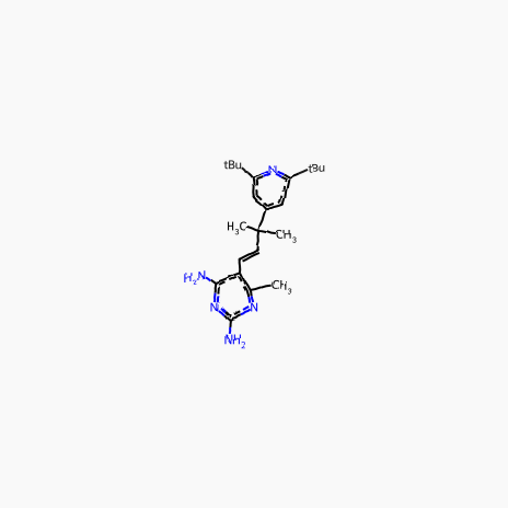 Cc1nc(N)nc(N)c1C=CC(C)(C)c1cc(C(C)(C)C)nc(C(C)(C)C)c1